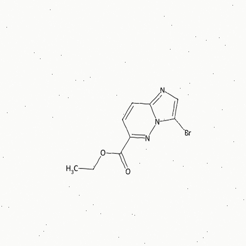 CCOC(=O)c1ccc2ncc(Br)n2n1